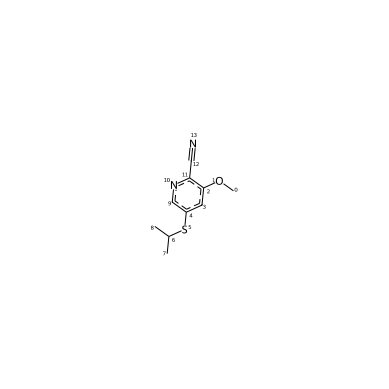 COc1cc(SC(C)C)cnc1C#N